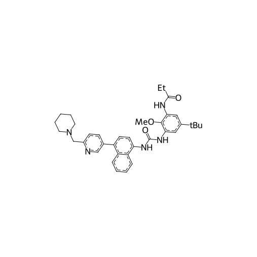 CCC(=O)Nc1cc(C(C)(C)C)cc(NC(=O)Nc2ccc(-c3ccc(CN4CCCCC4)nc3)c3ccccc23)c1OC